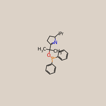 CC(C)C1CCC(C(C)(C)OP(c2ccccc2)c2ccccc2)=N1